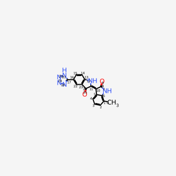 Cc1cccc2c1NC(=O)/C2=C1\Nc2ccc(-c3nnn[nH]3)cc2C1=O